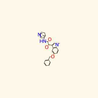 Cn1cc(C(=O)C(=O)NC2CN3CCC2CC3)c2cc(OCc3ccccc3)ccc21